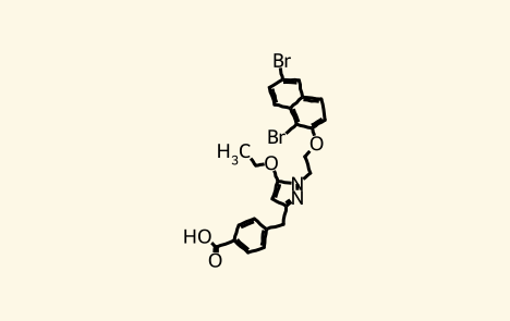 CCOc1cc(Cc2ccc(C(=O)O)cc2)nn1CCOc1ccc2cc(Br)ccc2c1Br